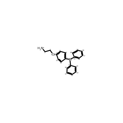 NCCO.c1ccc(B(c2ccccc2)c2ccccc2)cc1